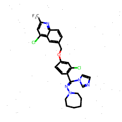 FC(F)(F)c1cc(Cl)c2cc(COc3ccc(C(=NN4CCCCCC4)n4ccnc4)c(Cl)c3)ccc2n1